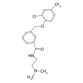 CN(C)CCNC(=O)c1cccc(COc2ccc(C(F)(F)F)cc2Cl)c1